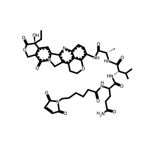 CC[C@@]1(O)C(=O)OCc2c1cc1n(c2=O)Cc2c-1nc1ccc(NC(=O)[C@H](C)NC(=O)[C@@H](NC(=O)C(CCC(N)=O)NC(=O)CCCCCN3C(=O)C=CC3=O)C(C)C)c3c1c2CCO3